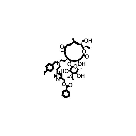 CC[C@H]1OC(=O)C[C@@H](O)[C@H](C)[C@@H](O[C@@H]2O[C@H](C)[C@@H](O)C(N(C)C)C2O)[C@@H](CCN(CCn2cc(COC(=O)c3ccccc3)nn2)Cc2ccc(I)cc2)C[C@@H](C)C(=O)/C=C/C(C)=C/[C@@H]1CO